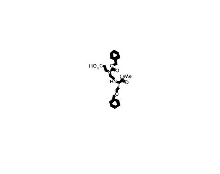 COC(=O)[C@H](CCOCc1ccccc1)NCCN(CCC(=O)O)C(=O)OCc1ccccc1